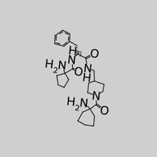 NC1(C(=O)N[C@H](Cc2ccccc2)C(=O)NCC2CCN(C(=O)C3(N)CCCCC3)CC2)CCCC1